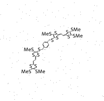 CSC1=C(SC)SC(=CC=C2SC(SC)=C(SCc3ccc(CSC4=C(SC)SC(=CC=C5SC(SC)=C(SC)S5)S4)cc3)S2)S1